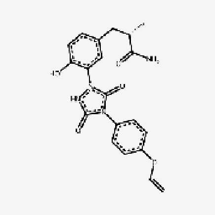 C=COc1ccc(-n2c(=O)[nH]n(-c3cc(C[C@H](C)C(N)=O)ccc3O)c2=O)cc1